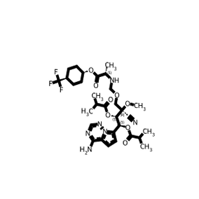 CO[C@](C#N)(COCN[C@@H](C)C(=O)O[C@H]1CC[C@H](C(F)(F)F)CC1)[C@@H](OC(=O)C(C)C)[C@@H](OC(=O)C(C)C)c1ccc2c(N)ncnn12